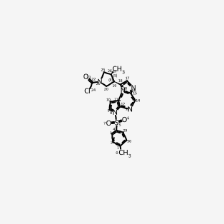 Cc1ccc(S(=O)(=O)n2ccc3c2ncc2ncc([C@H]4CN(C(=O)Cl)C[C@H]4C)n23)cc1